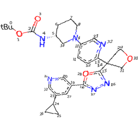 CC(C)(C)OC(=O)N[C@@H]1CCCN(c2ccc(C3(c4nnc(-c5cncc(C6CC6)c5)o4)COC3)nc2)C1